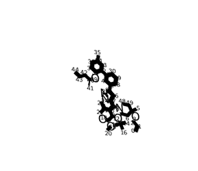 C=CCOC1(C)CCN(c2c(C(OC(C)(C)C)C(=O)OC)c(C)cn3nc(-c4cccc(-c5cc(C)ccc5O[C@@H](C)CC=C)c4)cc23)CC1